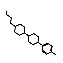 Cc1ccc(C2CCC(C3CCC(CCCI)CC3)CC2)cc1